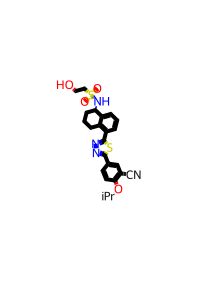 CC(C)Oc1ccc(-c2nnc(-c3cccc4c3CCC[C@@H]4NS(=O)(=O)CCO)s2)cc1C#N